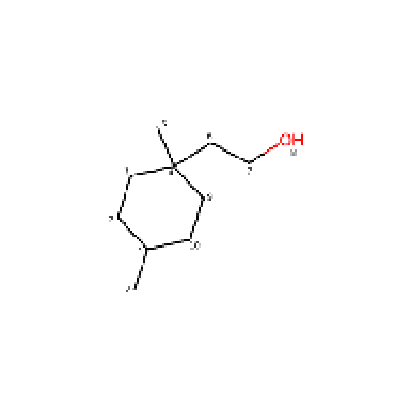 CC1CCC(C)(CCO)CC1